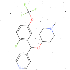 CN1CCC(OC(c2ccncc2)c2cc(OC(F)(F)F)ccc2F)CC1